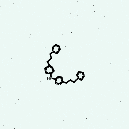 c1ccc(CCCc2ccc(Pc3ccc(CCCc4ccccc4)cc3)cc2)cc1